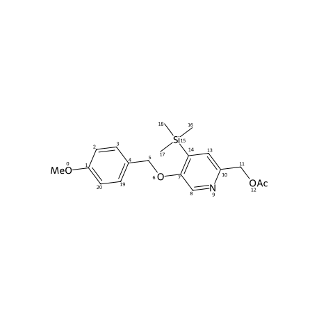 COc1ccc(COc2cnc(COC(C)=O)cc2[Si](C)(C)C)cc1